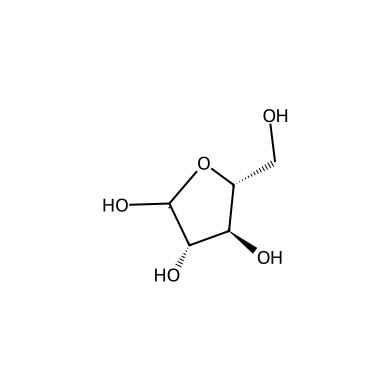 OC[C@H]1O[C](O)[C@@H](O)[C@@H]1O